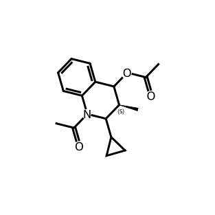 CC(=O)OC1c2ccccc2N(C(C)=O)C(C2CC2)[C@@H]1C